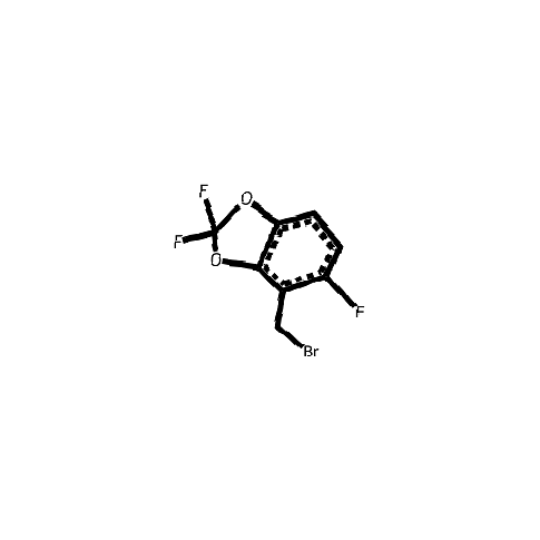 Fc1ccc2c(c1CBr)OC(F)(F)O2